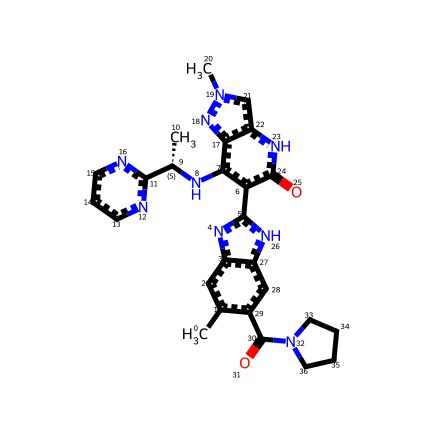 Cc1cc2nc(-c3c(N[C@@H](C)c4ncccn4)c4nn(C)cc4[nH]c3=O)[nH]c2cc1C(=O)N1CCCC1